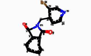 O=C1c2ccccc2C(=O)N1Cc1ccncc1Br